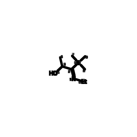 CCN=C(C(C)O)[Si](C)(C)C